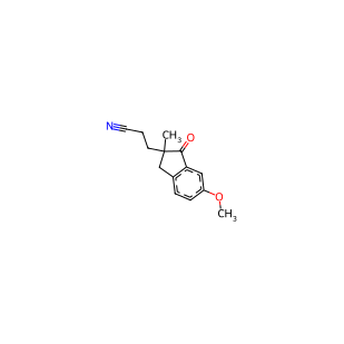 COc1ccc2c(c1)C(=O)C(C)(CCC#N)C2